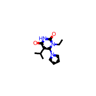 CCn1c(-n2cccc2)c(C(C)C)c(=O)[nH]c1=O